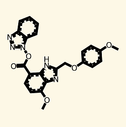 COc1ccc(OCc2nc3c(OC)ccc(C(=O)On4nnc5ccccc54)c3[nH]2)cc1